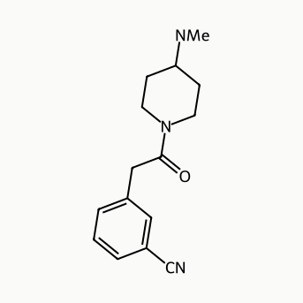 CNC1CCN(C(=O)Cc2cccc(C#N)c2)CC1